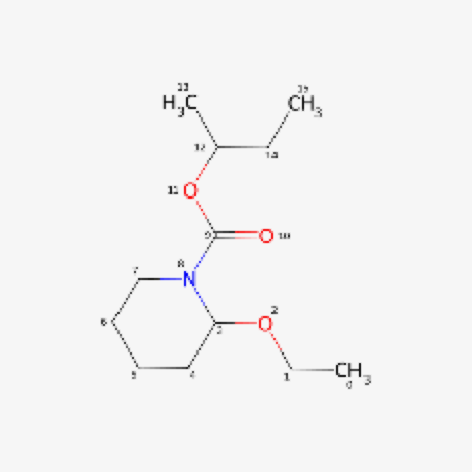 CCOC1CCCCN1C(=O)OC(C)CC